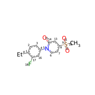 CCc1ccc(-n2ccc(S(C)(=O)=O)cc2=O)cc1F